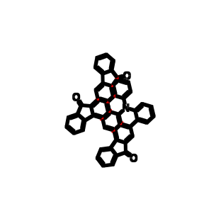 O=C1c2ccccc2-c2ccc(-c3ccccc3N(c3ccccc3-c3ccc4c(c3)C(=O)c3ccccc3-4)c3ccccc3-c3ccc4c(c3)C(=O)c3ccccc3-4)cc21